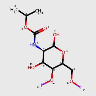 CC(C)OC(=O)N[C@H]1C(O)OC(COI)[C@@H](OI)C1O